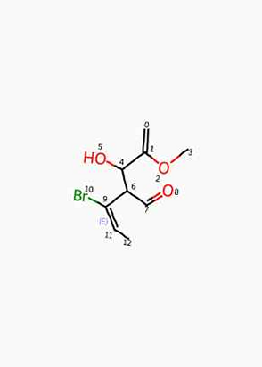 C=C(OC)C(O)C(C=O)/C(Br)=C\C